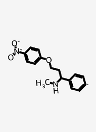 CNC(CCOc1ccc([N+](=O)[O-])cc1)c1cc[c]cc1